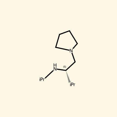 CC(C)N[C@H](CN1CCCC1)C(C)C